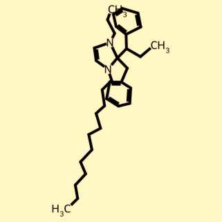 CCCCCCCCCCCCN1C=CN(CCC)C1(Cc1ccccc1)C(CC)c1ccccc1